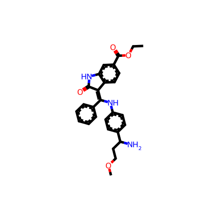 CCOC(=O)c1ccc2c(c1)NC(=O)C2=C(Nc1ccc(C(N)CCOC)cc1)c1ccccc1